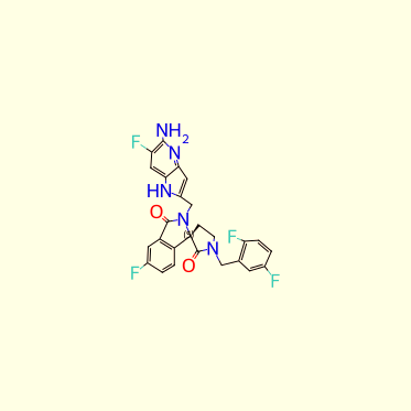 Nc1nc2cc(CN3C(=O)c4cc(F)ccc4[C@]34CCN(Cc3cc(F)ccc3F)C4=O)[nH]c2cc1F